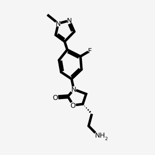 Cn1cc(-c2ccc(N3C[C@H](CCN)OC3=O)cc2F)cn1